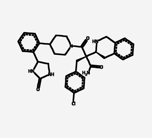 NC(=O)[C@](Cc1ccc(Cl)cc1)(C(=O)N1CCC(c2ccccc2C2CNC(=O)N2)CC1)[C@@H]1Cc2ccccc2CN1